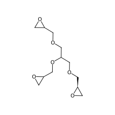 C(OCC1CO1)C(COC[C@H]1CO1)OCC1CO1